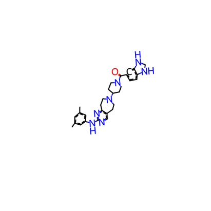 Cc1cc(C)cc(Nc2ncc3c(n2)CCN(C2CCN(C(=O)c4ccc5c(c4)NCN5)CC2)CC3)c1